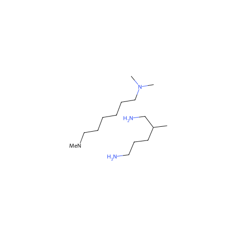 CC(CN)CCCN.CNCCCCCCN(C)C